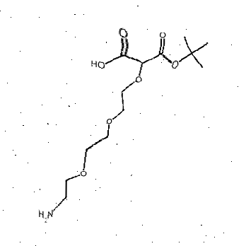 CC(C)(C)OC(=O)C(OCCOCCOCCN)C(=O)O